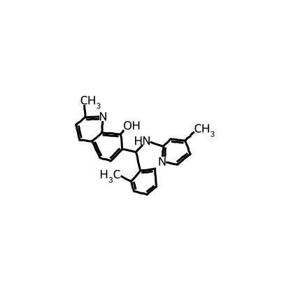 Cc1ccnc(NC(c2ccccc2C)c2ccc3ccc(C)nc3c2O)c1